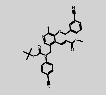 COC(=O)C=Cc1c(CN(C(=O)OC(C)(C)C)c2ccc(C#N)cc2)cnc(C)c1OCc1cccc(C#N)c1